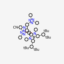 [C-]#[N+]c1ccc(-n2c3ccc(-c4cc5c6c(c4)N(c4ccccc4)c4cc(-c7cc(C(C)(C)C)cc(C(C)(C)C)c7)ccc4B6c4ccc(-c6cc(C(C)(C)C)cc(C(C)(C)C)c6)cc4N5c4ccccc4)cc3c3cc(-c4nc(-c5ccccc5)nc(-c5ccccc5)n4)ccc32)c(-c2nc(-c3ccccc3)nc(-c3ccccc3)n2)c1